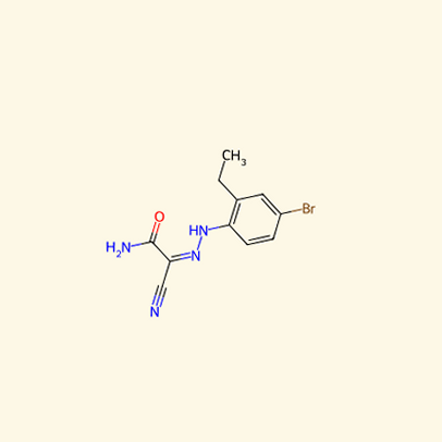 CCc1cc(Br)ccc1NN=C(C#N)C(N)=O